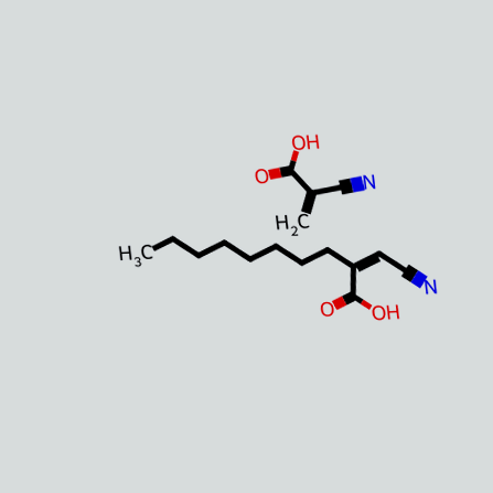 C=C(C#N)C(=O)O.CCCCCCCCC(=CC#N)C(=O)O